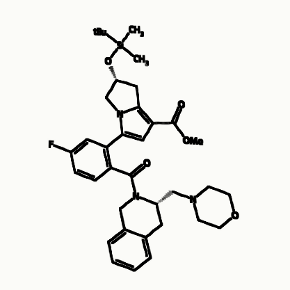 COC(=O)c1cc(-c2cc(F)ccc2C(=O)N2Cc3ccccc3C[C@H]2CN2CCOCC2)n2c1C[C@@H](O[Si](C)(C)C(C)(C)C)C2